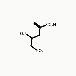 C=C(CC(C[N+](=O)[O-])[N+](=O)[O-])C(=O)O